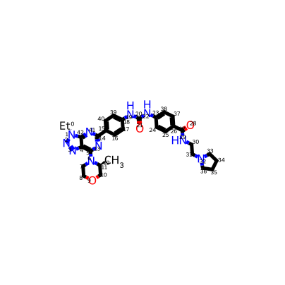 CCn1nnc2c(N3CCOC[C@@H]3C)nc(-c3ccc(NC(=O)Nc4ccc(C(=O)NCCN5CCCC5)cc4)cc3)nc21